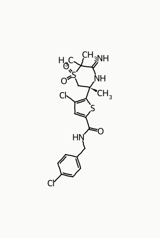 CC1(C)C(=N)N[C@](C)(c2sc(C(=O)NCc3ccc(Cl)cc3)cc2Cl)CS1(=O)=O